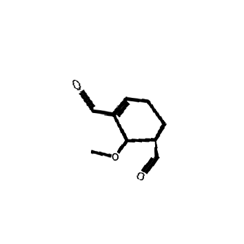 COC1C(C=O)=CCC[C@H]1C=O